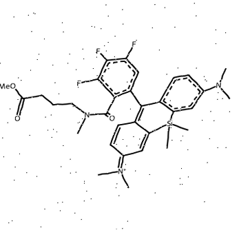 COC(=O)CCCN(C)C(=O)c1c(C2=C3C=CC(=[N+](C)C)C=C3[Si](C)(C)c3cc(N(C)C)ccc32)cc(F)c(F)c1F